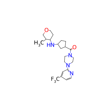 CC1COCCC1NC1CCC(C(=O)N2CCN(c3cc(C(F)(F)F)ccn3)CC2)C1